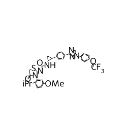 COc1ccc(C(C)C)c(N2C(=O)CS/C2=N\C(=O)NC2CC2c2ccc(-c3ncn(-c4ccc(OC(F)(F)F)cc4)n3)cc2)c1